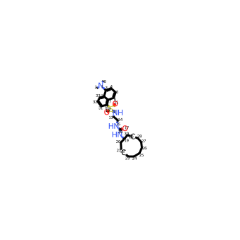 CN(C)c1cccc2c(S(=O)(=O)NCCNC(=O)NC3CCCCCCCCCCC3)cccc12